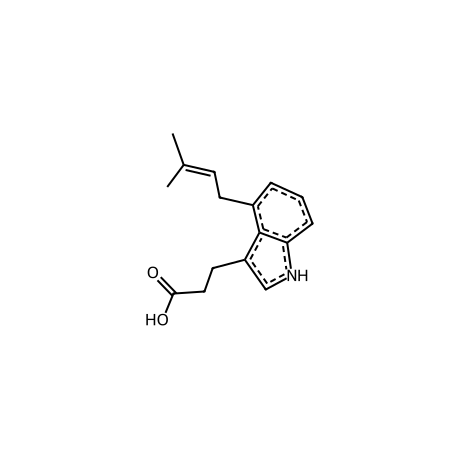 CC(C)=CCc1cccc2[nH]cc(CCC(=O)O)c12